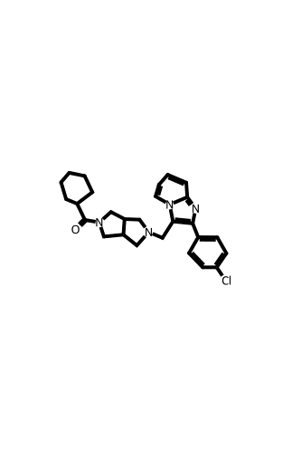 O=C(C1CCCCC1)N1CC2CN(Cc3c(-c4ccc(Cl)cc4)nc4ccccn34)CC2C1